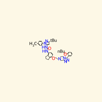 CCCCOc1ccccc1-c1nnc2n1CCN(CCOc1ccc(NC(=O)Nc3cc(C(C)(C)C)nn3-c3ccc(C)cc3)c3c1CCC3)C2